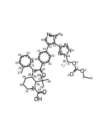 CCOC(=O)O[C@H](C)n1nnc(-c2c(-c3ccc(C(=O)N(c4ncccc4C)[C@@H]4CCCN(C(=O)O)C4C(C)(C)C)cc3)cnn2C)n1